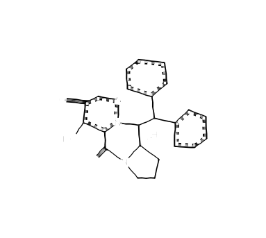 O=C1c2c(O)c(=O)cnn2C(C(c2ccccc2)c2ccccc2)[C@H]2CCCN12